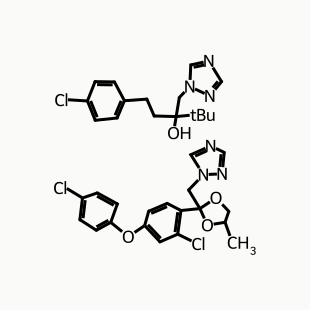 CC(C)(C)C(O)(CCc1ccc(Cl)cc1)Cn1cncn1.CC1COC(Cn2cncn2)(c2ccc(Oc3ccc(Cl)cc3)cc2Cl)O1